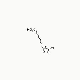 O=C(O)CCCCCCCCC(=O)OC(Cl)Cl